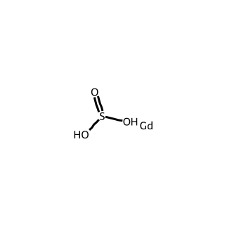 O=S(O)O.[Gd]